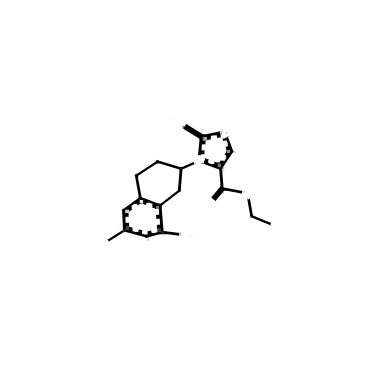 CCOC(=O)c1c[nH]c(=S)n1C1CCc2cc(F)cc(F)c2C1